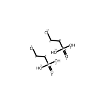 O=P(O)(O)CCCl.O=P(O)(O)CCCl